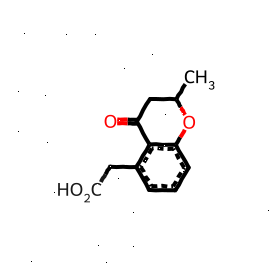 CC1CC(=O)c2c(CC(=O)O)cccc2O1